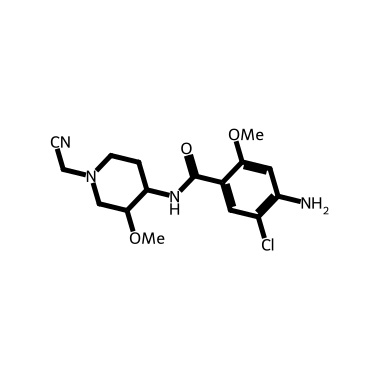 COc1cc(N)c(Cl)cc1C(=O)NC1CCN(CC#N)CC1OC